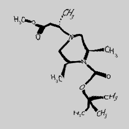 COC(=O)[C@H](C)N1C[C@@H](C)N(C(=O)OC(C)(C)C)[C@@H](C)C1